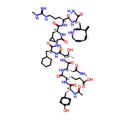 C=C1/C=C\C=C/CN/C=C\1C[C@H](NC(=O)[C@H](CCCNC(=N)NC)NC(=O)[C@H](CC1CC1)NC(=O)CNC(=O)[C@H](CC1CCCCC1)NC(=O)[C@@H](NC(=O)[C@H](CC(N)=O)NC(=O)[C@H](CCCC(=O)O)NC(=O)[C@@H](Cc1ccc(O)cc1)NC(C)=O)[C@@H](C)O)C(N)=O